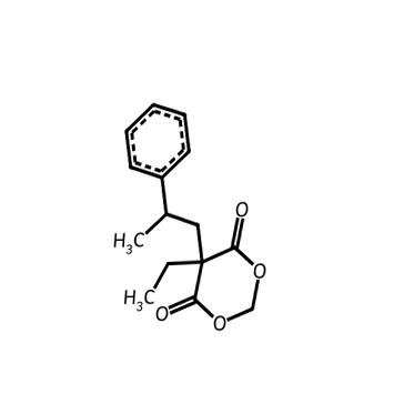 CCC1(CC(C)c2ccccc2)C(=O)OCOC1=O